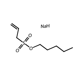 C=CCS(=O)(=O)OCCCCC.[NaH]